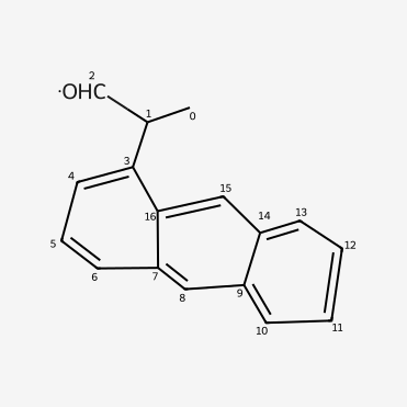 CC([C]=O)c1cccc2cc3ccccc3cc12